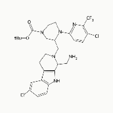 CC(C)(C)OC(=O)N1CCN(c2ccc(Cl)c(C(F)(F)F)n2)C(CN2CCc3c([nH]c4ccc(Cl)cc34)C2CN)C1